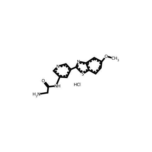 COc1ccc2sc(-c3cncc(NC(=O)CN)c3)nc2c1.Cl